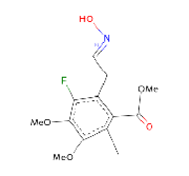 COC(=O)c1c(C)c(OC)c(OC)c(F)c1C/C=N/O